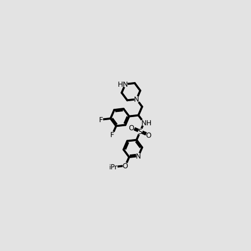 CC(C)Oc1ccc(S(=O)(=O)NC(CN2CCNCC2)c2ccc(F)c(F)c2)cn1